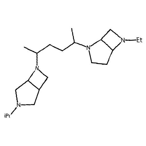 CCN1CC2C1CCN2C(C)CCC(C)N1CC2CN(C(C)C)CC21